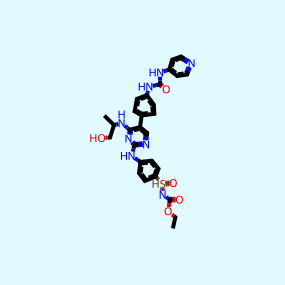 CCOC(=O)N=[SH](=O)c1ccc(Nc2ncc(-c3ccc(NC(=O)Nc4ccncc4)cc3)c(NC(C)CO)n2)cc1